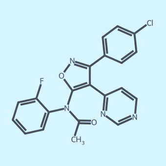 CC(=O)N(c1ccccc1F)c1onc(-c2ccc(Cl)cc2)c1-c1ccncn1